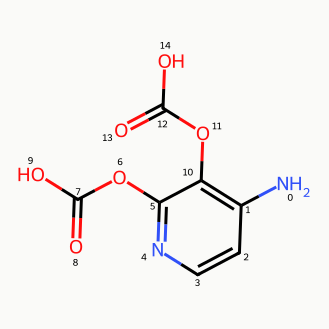 Nc1ccnc(OC(=O)O)c1OC(=O)O